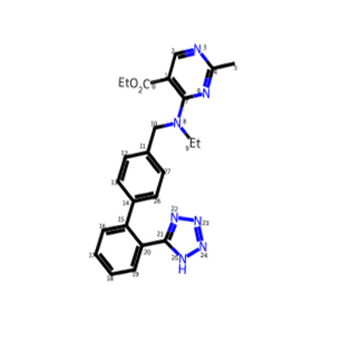 CCOC(=O)c1cnc(C)nc1N(CC)Cc1ccc(-c2ccccc2-c2nnn[nH]2)cc1